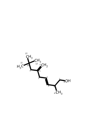 C=C(C/C=C/C(C)CO)CC(C)(C)C